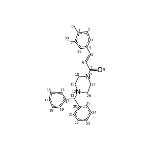 Cc1ccc(/C=C/C(=O)N2CCN(C(c3ccccc3)c3ccccc3)CC2)cc1C